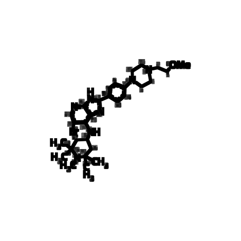 COCCN1CCN(c2ccc(-c3nc4c(NC5CC(C)(C)N(C)C(C)(C)C5)c(Br)cnc4[nH]3)cc2)CC1